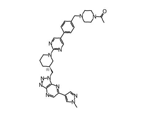 CC(=O)N1CCN(Cc2ccc(-c3cnc(N4CCC[C@H](Cn5nnc6ncc(-c7cnn(C)c7)nc65)C4)nc3)cc2)CC1